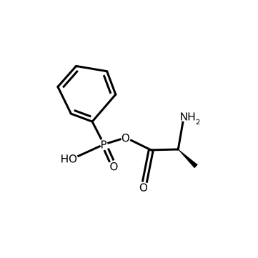 C[C@H](N)C(=O)OP(=O)(O)c1ccccc1